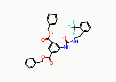 O=C(NCCc1ccccc1C(F)(F)F)Nc1cc(C(=O)OCc2ccccc2)cc(C(=O)OCc2ccccc2)c1